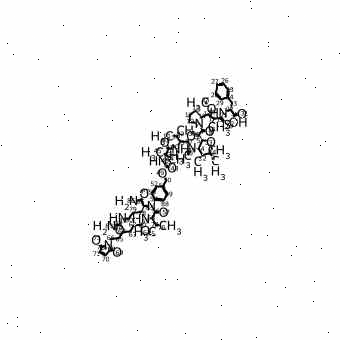 CC[C@H](C)[C@@H]([C@@H](CC(=O)N1CCC[C@H]1[C@H](OC)[C@@H](C)C(=S)N[C@@H](Cc1ccccc1)C(=O)O)OC)N(C)C(=O)[C@@H](NC(=O)C(C)(C)NC(=O)OCc1ccc(N(C(=O)[C@@H](NC(=O)CCCCCN2C(=O)C=CC2=O)C(C)C)[C@@H](CCCNC(N)=O)C(N)=O)cc1)C(C)C